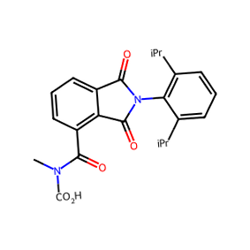 CC(C)c1cccc(C(C)C)c1N1C(=O)c2cccc(C(=O)N(C)C(=O)O)c2C1=O